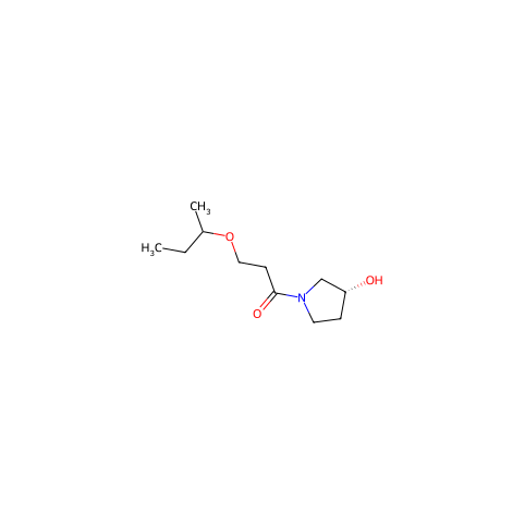 CCC(C)OCCC(=O)N1CC[C@@H](O)C1